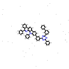 c1ccc(-c2cccc(-c3nc(-c4ccccc4)nc(-c4cccc(-c5ccc6c7ccc8c9ccccc9c(-c9ccccc9)nc8c7n(-c7ccccc7)c6c5)c4)n3)c2)cc1